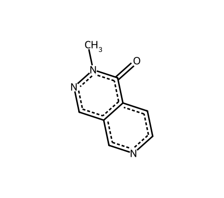 Cn1ncc2cnccc2c1=O